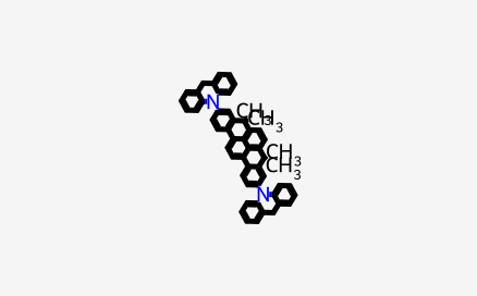 CC1(C)c2cc(N3c4ccccc4Cc4ccccc43)ccc2-c2ccc3c4c(ccc1c24)C(C)(C)c1cc(N2c4ccccc4Cc4ccccc42)ccc1-3